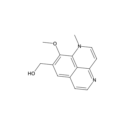 COc1c(CO)cc2ccnc3c2c1N(C)C=C3